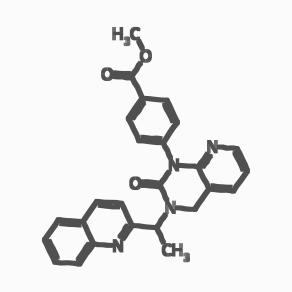 COC(=O)c1ccc(N2C(=O)N(C(C)c3ccc4ccccc4n3)Cc3cccnc32)cc1